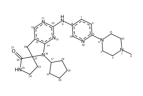 CN1CCN(c2ccc(Nc3ncc4c(n3)N(C3CCCC3)C3(CCNC3=O)C4)cn2)CC1